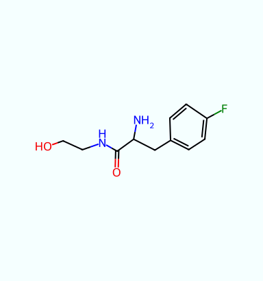 NC(Cc1ccc(F)cc1)C(=O)NCCO